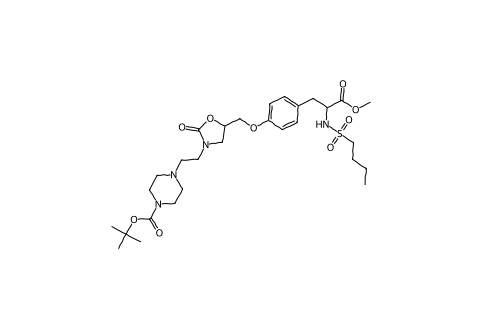 CCCCS(=O)(=O)NC(Cc1ccc(OCC2CN(CCN3CCN(C(=O)OC(C)(C)C)CC3)C(=O)O2)cc1)C(=O)OC